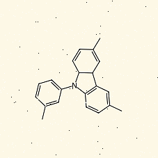 CC1=CC2c3cc(C)ccc3N(c3cccc(C)c3)C2C=C1